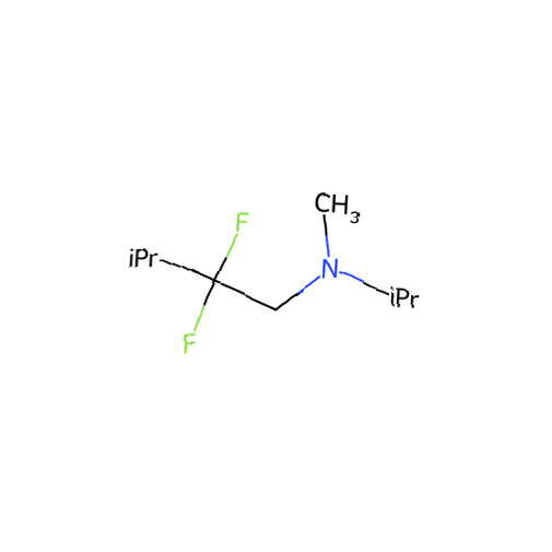 CC(C)N(C)CC(F)(F)C(C)C